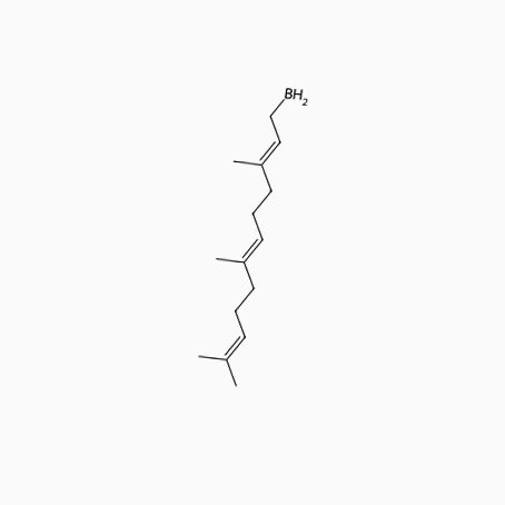 BC/C=C(\C)CC/C=C(\C)CCC=C(C)C